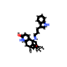 C/C=C1\[C@H]2C=C(C)C[C@]1(/N=C/C=C/c1c[nH]c3ccccc13)c1ccc(=O)[nH]c1C2